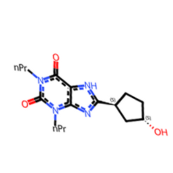 CCCn1c(=O)c2[nH]c([C@H]3CC[C@H](O)C3)nc2n(CCC)c1=O